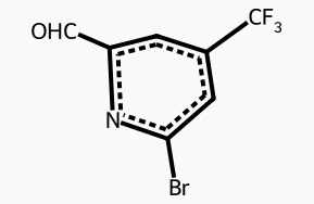 O=Cc1cc(C(F)(F)F)cc(Br)n1